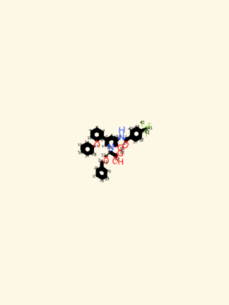 O=C(Nc1cc(-c2ccccc2Oc2ccccc2)cn([C@@H](COCc2ccccc2)C(=O)O)c1=O)c1ccc(C(F)(F)F)cc1